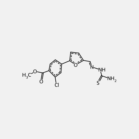 COC(=O)c1ccc(-c2ccc(C=NNC(N)=S)o2)cc1Cl